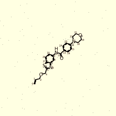 C=CCOCc1nc2cc(NC(=O)c3ccc(N4CCOCC4)cc3)ccc2s1